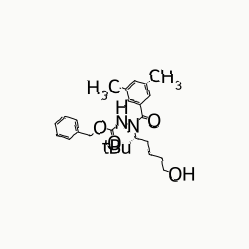 Cc1cc(C)cc(C(=O)N(NC(=O)OCc2ccccc2)[C@H](CCCCO)C(C)(C)C)c1